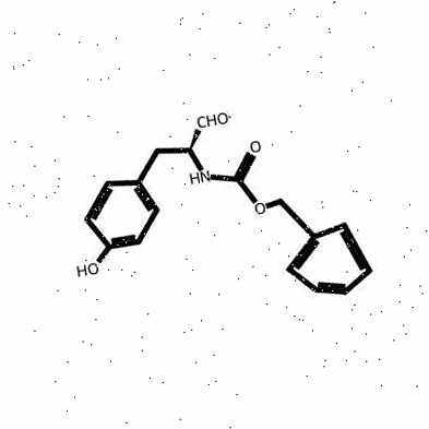 O=[C][C@H](Cc1ccc(O)cc1)NC(=O)OCc1ccccc1